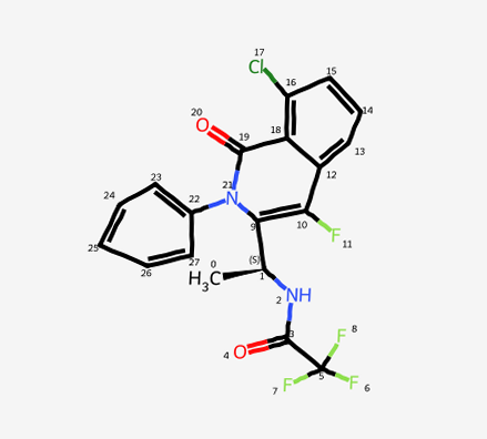 C[C@H](NC(=O)C(F)(F)F)c1c(F)c2cccc(Cl)c2c(=O)n1-c1ccccc1